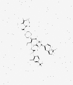 CCc1c(N2CCN(C(=O)c3ncnc(C)c3O)CC2)c(=O)n2nc(-c3ccn4c(C)ncc4c3)nc2n1CC(=O)Nc1ccc(C(F)(F)F)cc1Cl